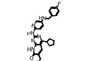 O=c1[nH]c2nc(Nc3ccc(NCc4ccc(F)cc4)cn3)nc(C3CCCC3)c2cc1CO